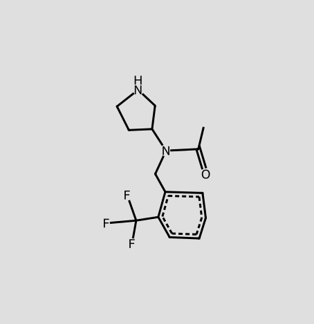 CC(=O)N(Cc1ccccc1C(F)(F)F)C1CCNC1